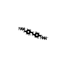 [N-]=[N+]=NCc1ccc(CCc2ccc(CN=[N+]=[N-])cc2)cc1